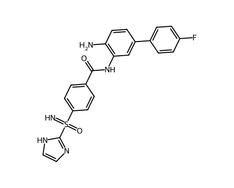 N=S(=O)(c1ccc(C(=O)Nc2cc(-c3ccc(F)cc3)ccc2N)cc1)c1ncc[nH]1